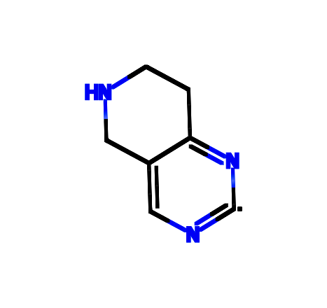 [c]1ncc2c(n1)CCNC2